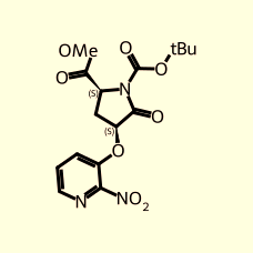 COC(=O)[C@@H]1C[C@H](Oc2cccnc2[N+](=O)[O-])C(=O)N1C(=O)OC(C)(C)C